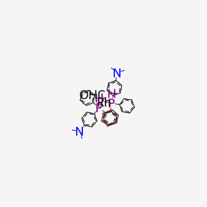 CN(C)c1ccc([PH](c2ccccc2)(c2ccccc2)[Rh]([CH]=O)[PH](c2ccccc2)(c2ccccc2)c2ccc(N(C)C)cc2)cc1